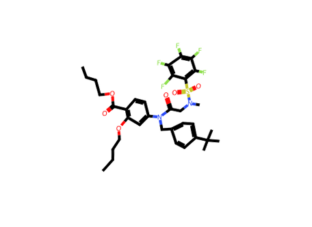 CCCCOC(=O)c1ccc(N(Cc2ccc(C(C)(C)C)cc2)C(=O)CN(C)S(=O)(=O)c2c(F)c(F)c(F)c(F)c2F)cc1OCCCC